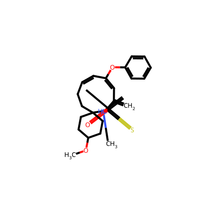 C=C1/C=C(Oc2ccccc2)\C=C/CCC2(CCC(OC)CC2)C12NC(=S)N(C)C2=O